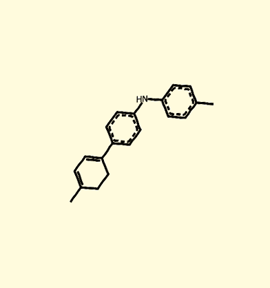 CC1=CC=C(c2ccc(Nc3ccc(C)cc3)cc2)CC1